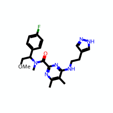 COCC(c1ccc(F)cc1)N(C)C(=O)c1nc(C)c(C)c(NCCc2cn[nH]c2)n1